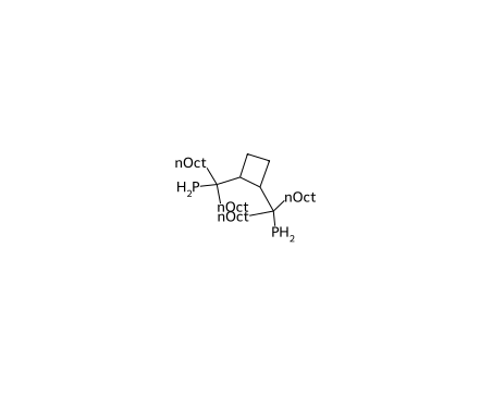 CCCCCCCCC(P)(CCCCCCCC)C1CCC1C(P)(CCCCCCCC)CCCCCCCC